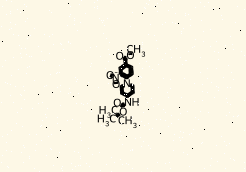 COC(=O)c1ccc(N2CCC(NC(=O)OC(C)(C)C)CC2)c([N+](=O)[O-])c1